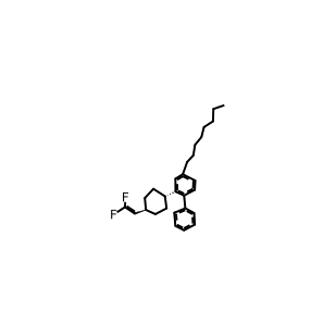 CCCCCCCCc1ccc(-c2ccccc2)c([C@H]2CC[C@H](C=C(F)F)CC2)c1